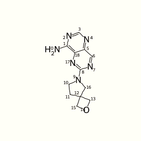 Nc1ncnc2cnc(N3CCC4(COC4)C3)nc12